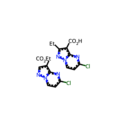 CCOC(=O)c1cnn2ccc(Cl)nc12.CCc1nn2ccc(Cl)nc2c1C(=O)O